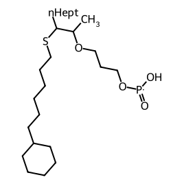 CCCCCCCC(SCCCCCCC1CCCCC1)C(C)OCCCO[P](=O)O